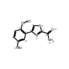 CCCCc1ccc(OCC)c(-c2csc(C(N)=O)n2)c1